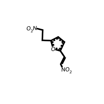 O=[N+]([O-])/C=C/c1ccc(CC[N+](=O)[O-])o1